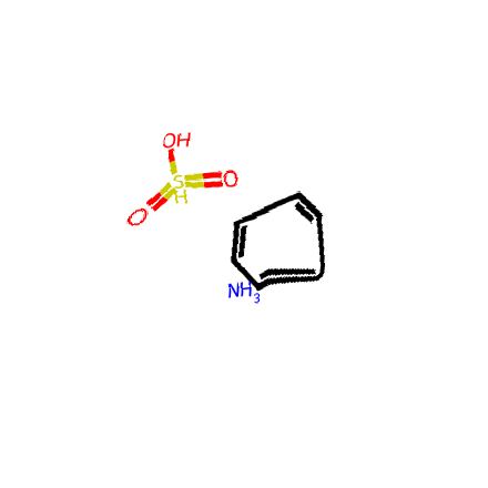 N.O=[SH](=O)O.c1ccccc1